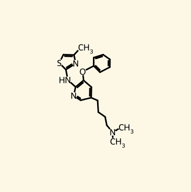 Cc1csc(Nc2ncc(CCCCN(C)C)cc2Oc2ccccc2)n1